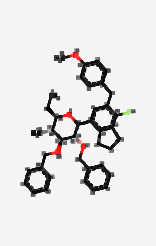 CC[C@H]1OC(c2cc(Cc3ccc(OC)cc3)c(F)c3c2CCC3)[C@H](OCc2ccccc2)[C@@H](OCc2ccccc2)[C@@H]1C